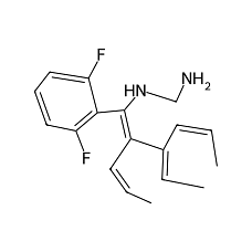 C\C=C/C(=C(/NCN)c1c(F)cccc1F)C(/C=C\C)=C/C